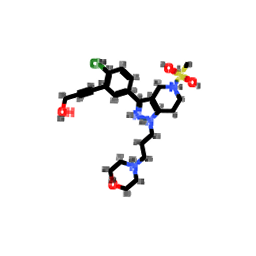 CS(=O)(=O)N1CCc2c(c(-c3ccc(Cl)c(C#CCO)c3)nn2CCCN2CCOCC2)C1